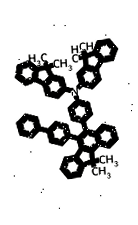 CC1(C)c2ccccc2-c2ccc(N(c3ccc(-c4c(-c5ccc(-c6ccccc6)cc5)c5c(c6ccccc46)C(C)(C)c4ccccc4-5)cc3)c3ccc4c(c3)C(C)(C)c3ccccc3-4)cc21